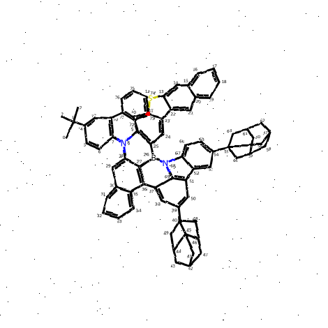 CC(C)(C)c1ccc(N2c3cc4sc5cc6ccccc6cc5c4cc3B3c4c2cc2ccccc2c4-c2cc(C45CC6CC(CC(C6)C4)C5)cc4c5cc(C67CC8CC(CC(C8)C6)C7)ccc5n3c24)c(-c2ccccc2)c1